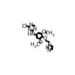 COc1cc(Nc2ncnc(Cl)n2)cc(OC)c1OCCn1ccnn1